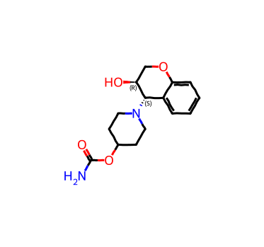 NC(=O)OC1CCN([C@H]2c3ccccc3OC[C@@H]2O)CC1